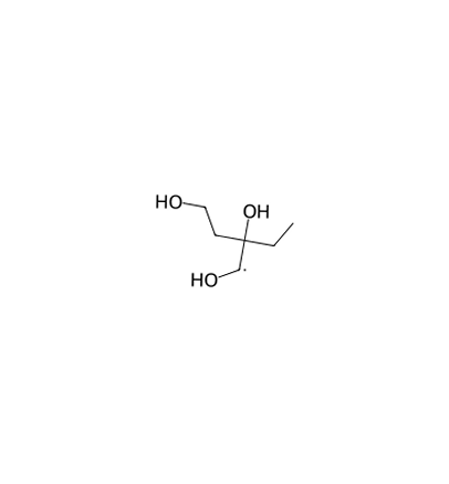 CCC(O)([CH]O)CCO